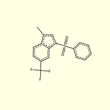 O=S(=O)(c1ccccc1)n1cc(I)c2ccc(C(F)(F)F)cc21